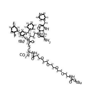 CC(C)(C)OC(=O)NCCOCCOCCOCCOCCC(=O)N[C@@H](CSCC(=O)N(CCCNC(=O)[C@H](CC(N)=O)NC(=O)Cc1ccncc1)[C@@H](c1cc(-c2cc(F)ccc2F)cn1Cc1ccccc1)C(C)(C)C)C(=O)O